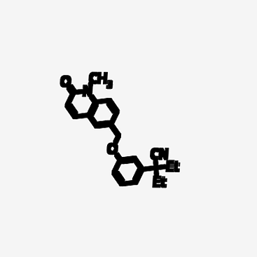 CCC(C#N)(CC)c1cccc(OCc2ccc3c(ccc(=O)n3C)c2)c1